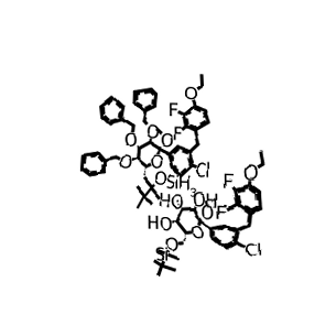 CCOc1ccc(Cc2cc([C@]3(OC)O[C@H](CC(C)(O[SiH3])C(C)(C)C)[C@@H](OCc4ccccc4)[C@H](OCc4ccccc4)[C@H]3OCc3ccccc3)ccc2Cl)c(F)c1F.CCOc1ccc(Cc2cc([C@]3(OC)O[C@H](CO[Si](C)(C)C(C)(C)C)[C@@H](O)[C@H](O)[C@H]3O)ccc2Cl)c(F)c1F